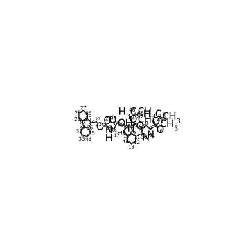 CC(C)(C)OC(=O)c1ccc(-c2cccc3c(C[C@H](NC(=O)OCC4c5ccccc5-c5ccccc54)C(=O)O)cn(C(=O)OC(C)(C)C)c23)nn1